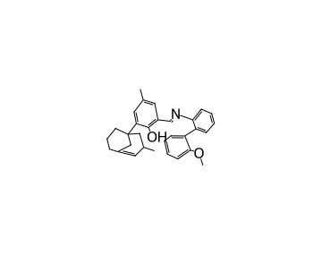 COc1ccccc1-c1ccccc1/N=C/c1cc(C)cc(C23CCCC(=CC(C)C2)C3)c1O